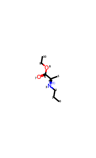 CCC/N=C(\C)C(=O)OCC